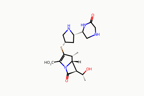 C[C@@H](O)[C@H]1C(=O)N2C(C(=O)O)=C(S[C@@H]3CN[C@H](C4CNCC(=O)N4)C3)[C@H](C)[C@H]12